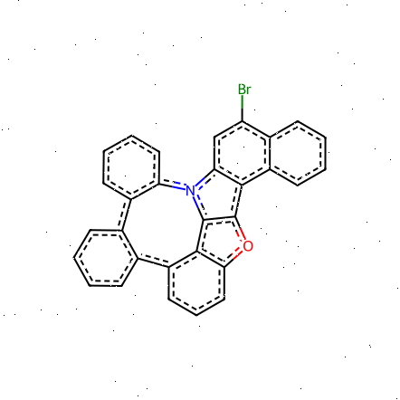 Brc1cc2c(c3ccccc13)c1oc3cccc4c5ccccc5c5ccccc5n2c1c34